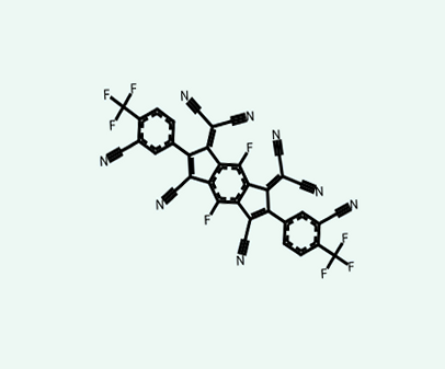 N#CC(C#N)=C1C(c2ccc(C(F)(F)F)c(C#N)c2)=C(C#N)c2c(F)c3c(c(F)c21)C(=C(C#N)C#N)C(c1ccc(C(F)(F)F)c(C#N)c1)=C3C#N